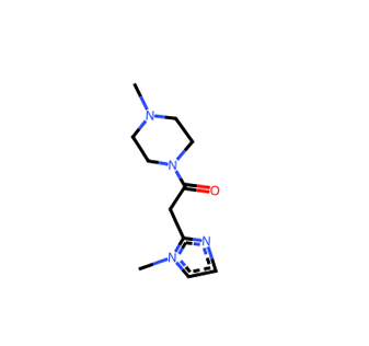 CN1CCN(C(=O)Cc2nccn2C)CC1